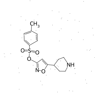 Cc1ccc(S(=O)(=O)Oc2cc(C3CCNCC3)on2)cc1